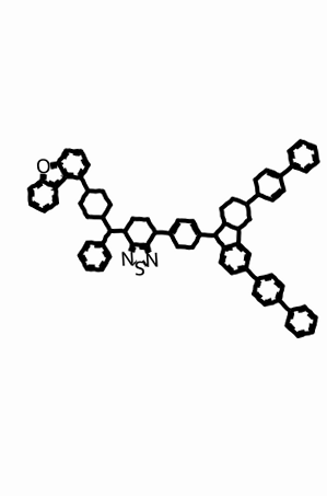 C1=CC(C2CCC3C(C2)c2cc(-c4ccc(-c5ccccc5)cc4)ccc2C3C2=CC=C(C3CCC(C(c4ccccc4)C4CCC(c5cccc6oc7ccccc7c56)CC4)c4nsnc43)CC2)CC=C1c1ccccc1